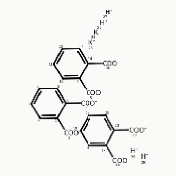 O=C([O-])c1ccccc1C(=O)[O-].O=C([O-])c1ccccc1C(=O)[O-].O=C([O-])c1ccccc1C(=O)[O-].[H+].[H+].[H+].[H+].[K+].[K+]